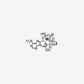 C=CP(=O)(O)OP(=O)(O)OP(=O)(O)OC1c2nc3c(N)ncnc3n2C2OC1C(O)C2O